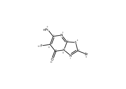 CCCc1nc2sc(Br)nn2c(=O)c1F